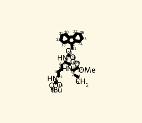 C=CC[C@H](NC(=O)[C@@H](CCCCNC(=O)OC(C)(C)C)NC(=O)OCC1c2ccccc2-c2ccccc21)C(=O)OC